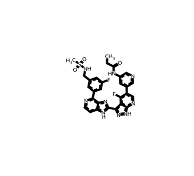 CCC(=O)Nc1cncc(-c2cnc3[nH]nc(-c4nc5c(-c6cc(F)cc(CNS(C)(=O)=O)c6)nccc5[nH]4)c3c2F)c1